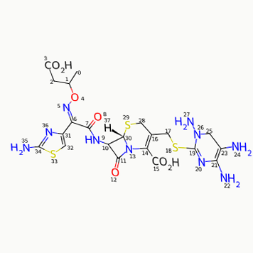 CC(CC(=O)O)O/N=C(\C(=O)NC1C(=O)N2C(C(=O)O)=C(CSC3=NC(N)=C(N)CN3N)CS[C@@H]12)c1csc(N)n1